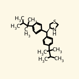 CC(C)C(C)(C)c1ccc(C(c2ccc(C(C)(C)C(C)C)cc2)[C@H]2CSCN2)cc1